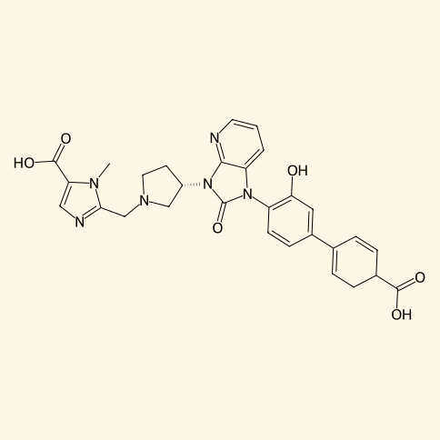 Cn1c(C(=O)O)cnc1CN1CC[C@H](n2c(=O)n(-c3ccc(C4=CCC(C(=O)O)C=C4)cc3O)c3cccnc32)C1